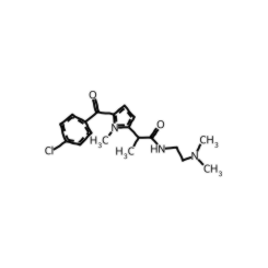 CC(C(=O)NCCN(C)C)c1ccc(C(=O)c2ccc(Cl)cc2)n1C